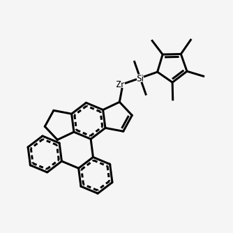 CC1=C(C)C([Si](C)(C)[Zr][CH]2C=Cc3c2cc2c(c3-c3ccccc3-c3ccccc3)CCC2)C(C)=C1C